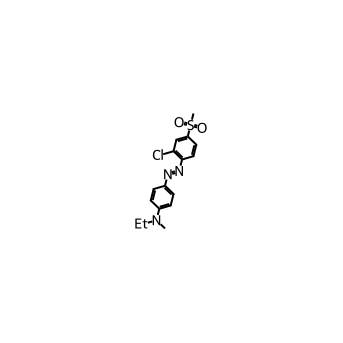 CCN(C)c1ccc(N=Nc2ccc(S(C)(=O)=O)cc2Cl)cc1